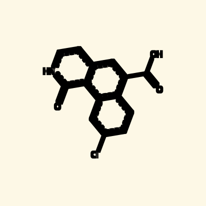 O=C(O)c1cc2cc[nH]c(=O)c2c2cc(Cl)ccc12